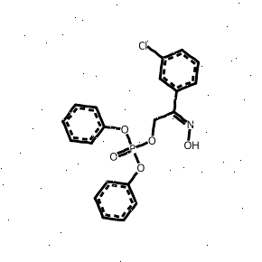 O=P(OCC(=NO)c1cccc(Cl)c1)(Oc1ccccc1)Oc1ccccc1